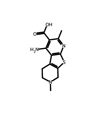 Cc1nc2sc3c(c2c(N)c1C(=O)O)CCN(C)C3